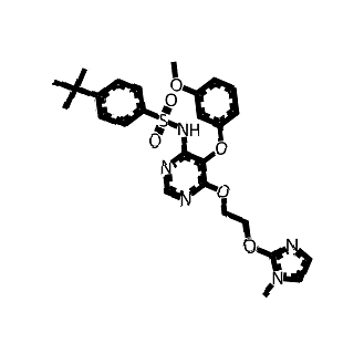 COc1cccc(Oc2c(NS(=O)(=O)c3ccc(C(C)(C)C)cc3)ncnc2OCCOc2nccn2C)c1